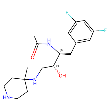 CC(=O)N[C@@H](Cc1cc(F)cc(F)c1)[C@H](O)CNC1(C)CCNCC1